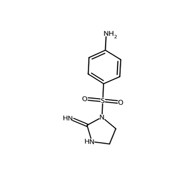 N=C1NCCN1S(=O)(=O)c1ccc(N)cc1